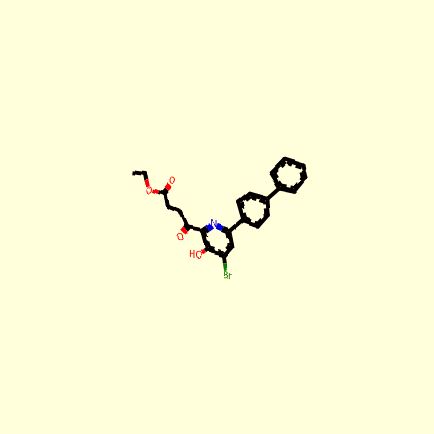 CCOC(=O)CCC(=O)c1nc(-c2ccc(-c3ccccc3)cc2)cc(Br)c1O